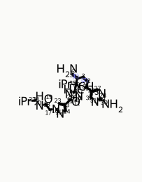 C=C(/C=C\C(=C/N)[C@](C)(c1noc(-c2cnn(CC(=O)NCC(C)C)c2)n1)C(C)C)c1cnc(N)nc1